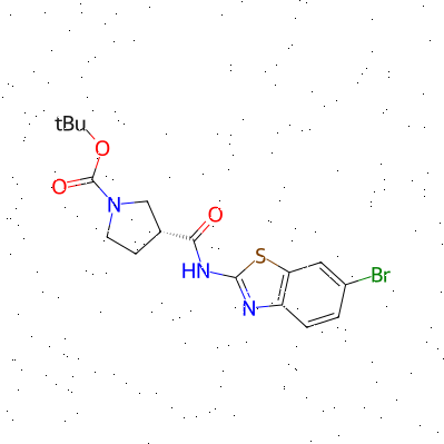 CC(C)(C)OC(=O)N1CC[C@@H](C(=O)Nc2nc3ccc(Br)cc3s2)C1